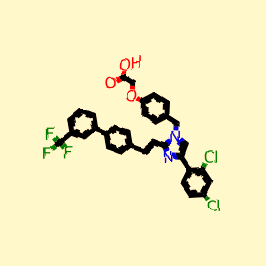 O=C(O)COc1ccc(Cn2cc(-c3ccc(Cl)cc3Cl)nc2C=Cc2ccc(-c3cccc(C(F)(F)F)c3)cc2)cc1